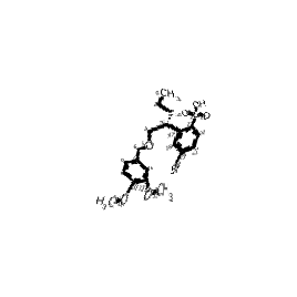 CCC[C@@H](COCc1ccc(OC)c(OC)c1)c1cc(Br)ccc1S(=O)(=O)O